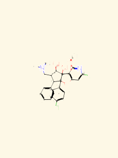 COc1nc(Cl)cc2c1C1(O)C(O)C(CN(C)C)C(c3ccccc3)C1(c1ccc(Cl)cc1)O2